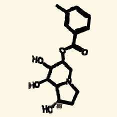 Cc1cccc(C(=O)OC2CN3CC[C@H](O)C3C(O)C2O)c1